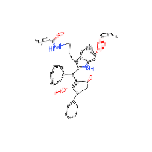 COc1ccc2c(CCNC(C)=O)c(C(C3=C(O)C(c4ccccc4)CC3=O)c3ccccc3)[nH]c2c1